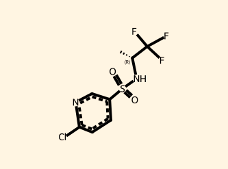 C[C@@H](NS(=O)(=O)c1ccc(Cl)nc1)C(F)(F)F